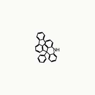 c1ccc(C2(c3cccc4c3Cc3ccccc3-4)c3ccccc3Nc3ccccc32)cc1